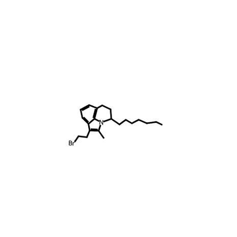 CCCCCCCC1CCc2cccc3c(CCBr)c(C)n1c23